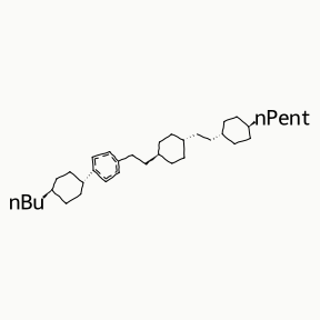 CCCCC[C@H]1CC[C@H](CC[C@H]2CC[C@H](CCc3ccc([C@H]4CC[C@H](CCCC)CC4)cc3)CC2)CC1